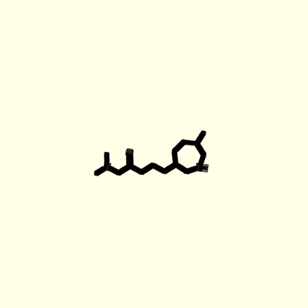 CC1CCC(CCCC(=O)CN(C)C)CNC1